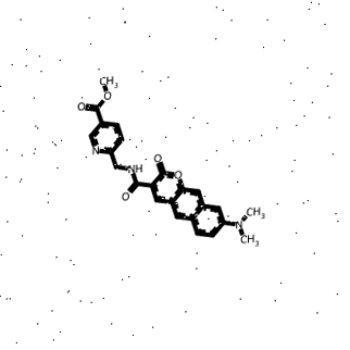 COC(=O)c1ccc(CNC(=O)c2cc3cc4ccc(N(C)C)cc4cc3oc2=O)nc1